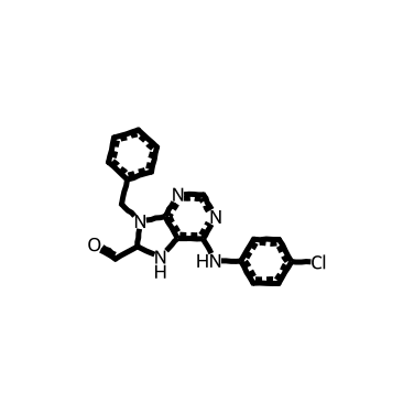 O=CC1Nc2c(Nc3ccc(Cl)cc3)ncnc2N1Cc1ccccc1